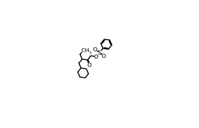 CCC(CC1CCCCC1)C(=O)COS(=O)(=O)c1ccccc1